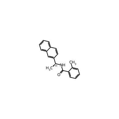 Cc1ccccc1C(=O)N[C@@H](C)c1ccc2ccccc2c1